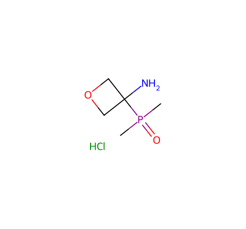 CP(C)(=O)C1(N)COC1.Cl